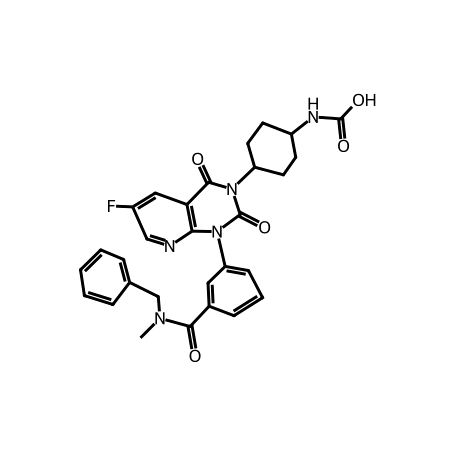 CN(Cc1ccccc1)C(=O)c1cccc(-n2c(=O)n(C3CCC(NC(=O)O)CC3)c(=O)c3cc(F)cnc32)c1